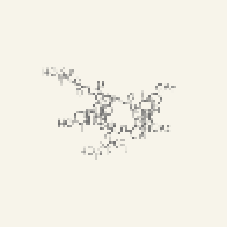 CC(=O)OC1CC[C@@]2(C)[C@@H](C1)CC(OC(=O)CC[C@H](CCC(=O)OCC(=O)OCC(F)(F)S(=O)(=O)O)[C@H]1CC[C@H]3[C@@H]4C(O)C[C@@H]5CC(O)CC[C@]5(C)[C@H]4CC(O)[C@]13C)[C@@H]1[C@@H]2CC(OC(C)=O)[C@]2(C)[C@@H]3C(=C(OCC(=O)OC(C(F)(F)F)C(F)(F)S(=O)(=O)O)CC[C@H]3C)C[C@@H]12